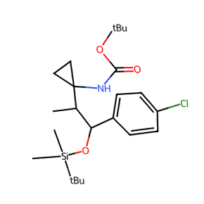 CC(C(O[Si](C)(C)C(C)(C)C)c1ccc(Cl)cc1)C1(NC(=O)OC(C)(C)C)CC1